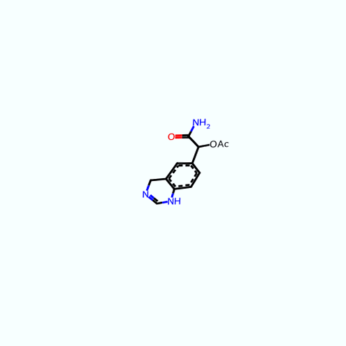 CC(=O)OC(C(N)=O)c1ccc2c(c1)CN=CN2